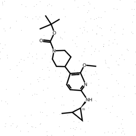 COc1nc(N[C@H]2CC2C)ccc1C1CCN(C(=O)OC(C)(C)C)CC1